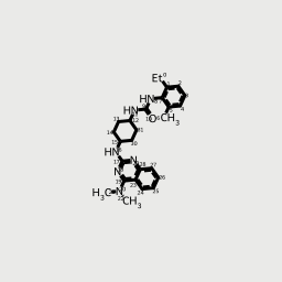 CCc1cccc(C)c1NC(=O)NC1CCC(Nc2nc(N(C)C)c3ccccc3n2)CC1